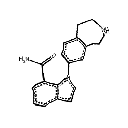 NC(=O)c1cccc2ccn(-c3ccc4c(c3)CNCC4)c12